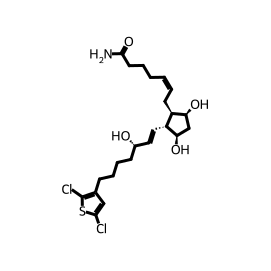 NC(=O)CCC/C=C\C[C@@H]1[C@@H](/C=C/[C@@H](O)CCCCc2cc(Cl)sc2Cl)[C@H](O)C[C@@H]1O